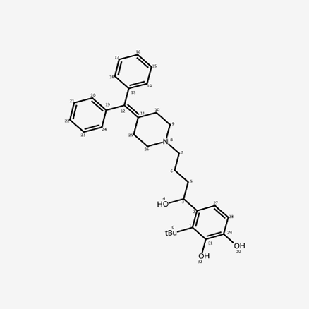 CC(C)(C)c1c(C(O)CCCN2CCC(=C(c3ccccc3)c3ccccc3)CC2)ccc(O)c1O